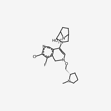 CN1CCC[C@H]1CON1C=C(N2CC3CCC(C2)N3C(=O)O)c2cnc(Cl)c(F)c2C1